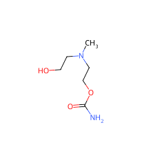 CN(CCO)CCOC(N)=O